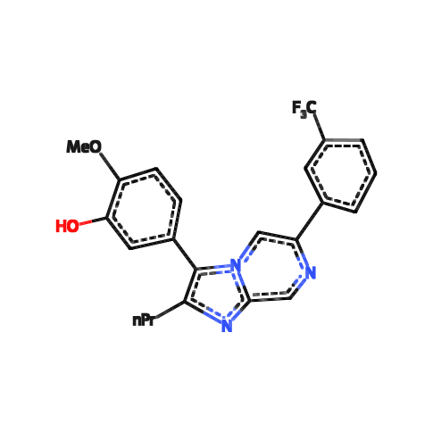 CCCc1nc2cnc(-c3cccc(C(F)(F)F)c3)cn2c1-c1ccc(OC)c(O)c1